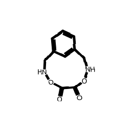 O=C1ONCc2cccc(c2)CNOC1=O